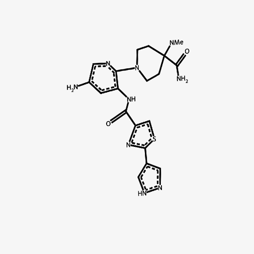 CNC1(C(N)=O)CCN(c2ncc(N)cc2NC(=O)c2csc(-c3cn[nH]c3)n2)CC1